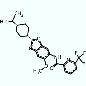 COc1cc2nc([C@H]3CC[C@H](C(C)C)CC3)oc2cc1NC(=O)c1cccc(C(F)(F)F)n1